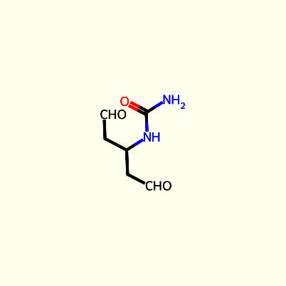 NC(=O)NC(CC=O)CC=O